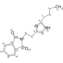 CCCCc1nc(CCN2C(=O)c3ccccc3C2=O)c[nH]1